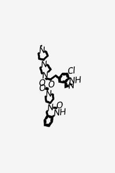 CN1CCC(N2CCN(C(=O)C(Cc3cc(Cl)c4[nH]ncc4c3)OC(=O)N3CCC(N4Cc5ccccc5NC4=O)CC3)CC2)CC1